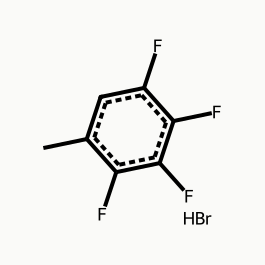 Br.Cc1cc(F)c(F)c(F)c1F